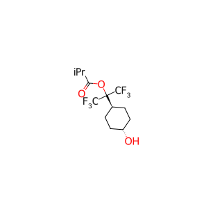 CC(C)C(=O)OC([C@H]1CC[C@H](O)CC1)(C(F)(F)F)C(F)(F)F